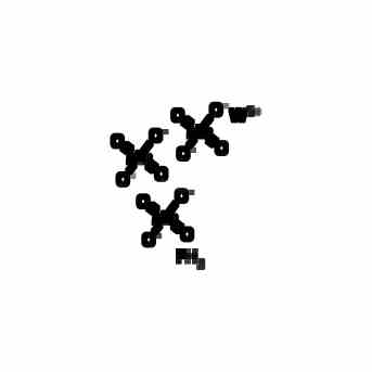 P.[O]=[Mo](=[O])([O-])[O-].[O]=[Mo](=[O])([O-])[O-].[O]=[Mo](=[O])([O-])[O-].[W+6]